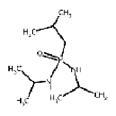 CC(C)CP(=O)(NC(C)C)NC(C)C